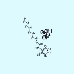 CCCCCCCCCCCCc1ccccc1I.O=S(=O)(O)O